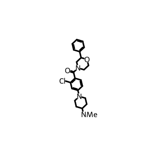 CNC1CCN(c2ccc(C(=O)N3CCOC(c4ccccc4)C3)c(Cl)c2)CC1